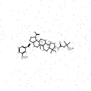 C=C(C)[C@@H]1CC[C@]2(C#Cc3cccc(C(=O)O)c3)CC[C@]3(C)C(CCC4[C@@]5(C)CC[C@H](OC(=O)CC(C)(C)C(=O)O)C(C)(C)C5CC[C@]43C)C12